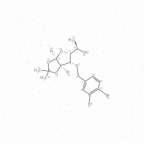 CCc1cc(CO[C@@H]2[C@H]3OC(C)(C)O[C@H]3O[C@@H]2[C@@H](C)O)ccc1Br